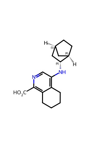 O=C(O)c1ncc(N[C@@H]2C[C@H]3CC[C@@H]2C3)c2c1CCCC2